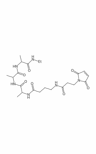 CCNC(=O)C(C)NC(=O)C(C)NC(=O)C(C)NC(=O)CCCNC(=O)CCN1C(=O)C=CC1=O